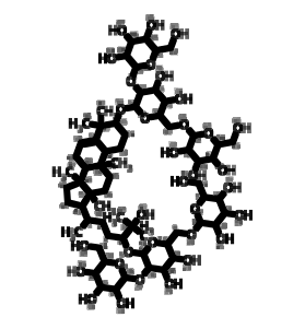 CC(CCC(OC1OC(COC2OC(CO)C(O)C(O)C2O)C(O)C(O)C1OC1OC(CO)C(O)C(O)C1O)C(C)(C)O)C1CCC2(C)C3CC=C4C(CCC(OC5OC(COC6OC(CO)C(O)C(O)C6O)C(O)C(O)C5OC5OC(CO)C(O)C(O)C5O)C4(C)C)C3(C)CCC12C